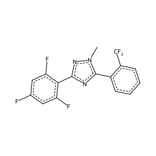 Cn1nc(-c2c(F)cc(F)cc2F)nc1-c1ccccc1C(F)(F)F